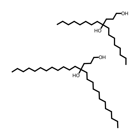 CCCCCCCCC(O)(CCCO)CCCCCCCC.CCCCCCCCCCCCC(O)(CCCO)CCCCCCCCCCCC